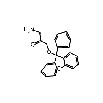 NCC(=O)COC(c1ccccc1)(c1ccccc1)c1ccccc1Cl